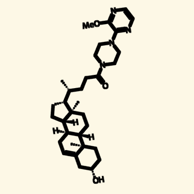 COc1nccnc1N1CCN(C(=O)CC[C@@H](C)[C@H]2CC[C@H]3[C@@H]4CC=C5C[C@@H](O)CC[C@]5(C)[C@H]4CC[C@]23C)CC1